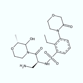 CCc1c(N2CCOCC2=O)cccc1S(=O)(=O)N[C@@H](CN)C(=O)N1CCO[C@H](C)C1O